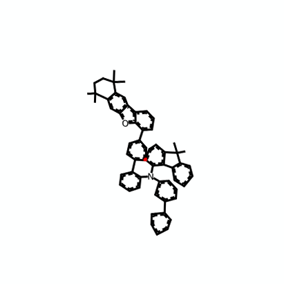 CC1(C)CCC(C)(C)c2cc3c(cc21)oc1c(-c2ccc(-c4ccccc4N(c4cccc(-c5ccccc5)c4)c4cccc5c4-c4ccccc4C5(C)C)cc2)cccc13